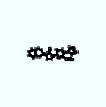 COc1nc(N2CCC(N3CCc4ccccc4C3)C2=O)ccc1-c1cn[nH]c1